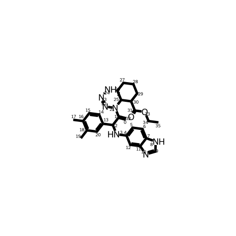 C=C(C(Nc1ccc2[nH]cnc2c1)c1ccc(C)c(C)c1)N(/N=N\N)C1CCCCC1C(=O)OCC